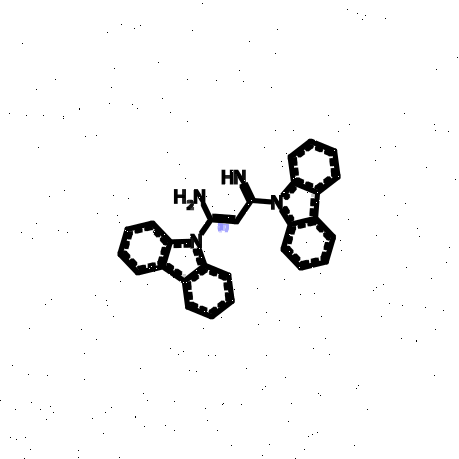 N=C(/C=C(\N)n1c2ccccc2c2ccccc21)n1c2ccccc2c2ccccc21